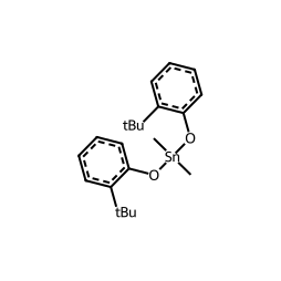 CC(C)(C)c1ccccc1[O][Sn]([CH3])([CH3])[O]c1ccccc1C(C)(C)C